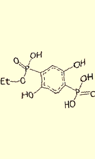 CCOP(=O)(O)c1cc(O)c(P(=O)(O)O)cc1O